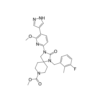 COC(=O)N1CCC2(CC1)CN(c1ccc(-c3cn[nH]c3)c(OC)n1)C(=O)N2Cc1cccc(F)c1C